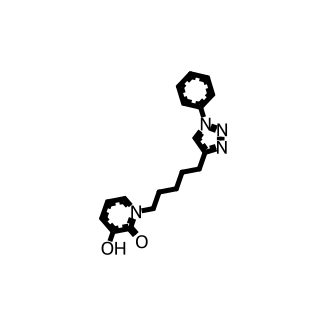 O=c1c(O)cccn1CCCCCc1cn(-c2ccccc2)nn1